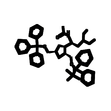 CCC(CC)C[C@H](NC(C)=O)[C@@H]1C[C@@H](COC(c2ccccc2)(c2ccccc2)c2ccccc2)C[C@H]1CO[Si](c1ccccc1)(c1ccccc1)C(C)(C)C